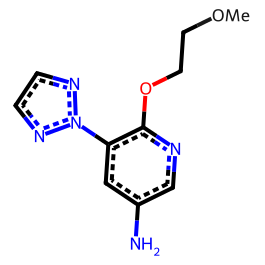 COCCOc1ncc(N)cc1-n1nccn1